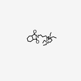 CC[Si]1(CC)CC[Si](CC)(CC)N1CCCN1C(=O)C2CCCCC2C1=O